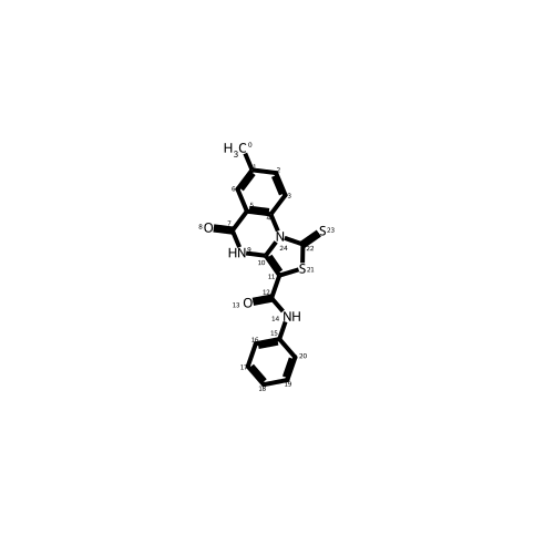 Cc1ccc2c(c1)c(=O)[nH]c1c(C(=O)Nc3ccccc3)sc(=S)n12